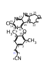 Cc1cc(/C=C/C#N)cc(C)c1Oc1nc(Cl)nc2nc3n(c12)CCOC3